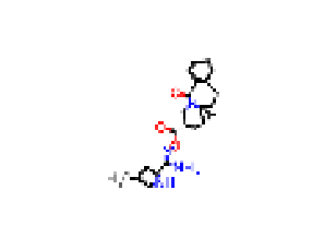 Cc1c[nH]c(/C(N)=N/OC(=O)[C@H]2CC[C@H]3CCc4ccccc4C(=O)N3C2)c1